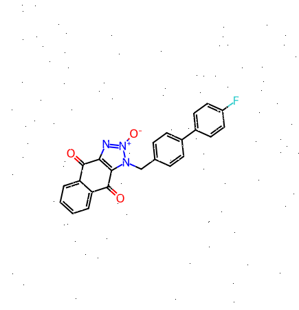 O=C1c2ccccc2C(=O)c2c1n[n+]([O-])n2Cc1ccc(-c2ccc(F)cc2)cc1